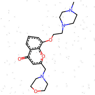 CN1CCN(CCOc2cccc3c(=O)cc(CN4CCOCC4)oc23)CC1